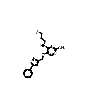 CCCCNc1nc(N)ncc1OCc1cc(-c2ccccc2)on1